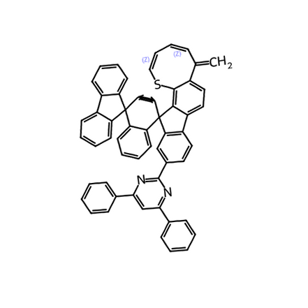 C=C1/C=C\C=C/Sc2c1ccc1c2C2(c3cc(-c4nc(-c5ccccc5)cc(-c5ccccc5)n4)ccc3-1)c1ccccc1C1(c3ccccc3-c3ccccc31)c1ccccc12